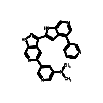 CN(C)c1cncc(-c2cc3c(-c4cc5c(-c6cccnc6)cncc5[nH]4)n[nH]c3cn2)c1